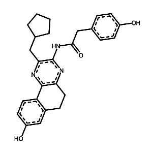 O=C(Cc1ccc(O)cc1)Nc1nc2c(nc1CC1CCCC1)-c1ccc(O)cc1CC2